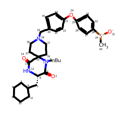 CCCCN1C(=O)[C@H](CC2CCCCC2)NC(=O)C12CCN(Cc1ccc(Oc3ccc([S+](C)[O-])cc3)cc1)CC2